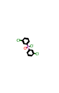 O=P(Cl)(c1cccc(Cl)c1)c1cccc(Cl)c1